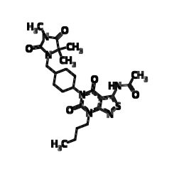 CCCCn1c(=O)n(C2CCC(CN3C(=O)N(C)C(=O)C3(C)C)CC2)c(=O)c2c(NC(C)=O)snc21